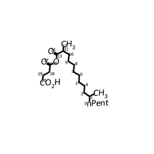 CCCCCC(C)CCCCCCCCC(C)C(=O)OC(=O)CCC(=O)O